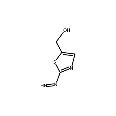 N=Nc1ncc(CO)s1